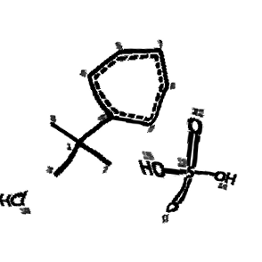 CC(C)(C)c1ccccc1.Cl.O=S(=O)(O)O